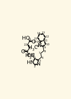 Cc1[nH]cnc1CCCc1cc2ccccc2n1C.O=C(O)C=CC(=O)O